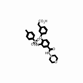 Cc1ccc(S(=O)(=O)Nc2cc(C(=O)NN3CCOCC3)ccc2Oc2cccc(CC(=O)O)c2)cc1